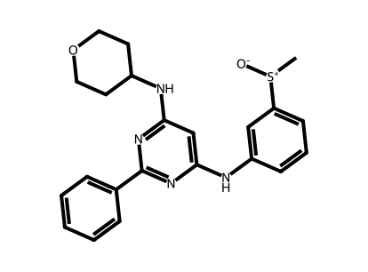 C[S+]([O-])c1cccc(Nc2cc(NC3CCOCC3)nc(-c3ccccc3)n2)c1